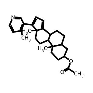 CC(=O)OC1CCC2(C)C(CCC3C4=CC=C(c5cnccc5C)C4(C)CCC32)C1